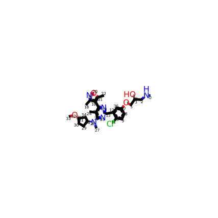 CNC[C@@H](O)COc1ccc(Cl)c(-c2nc(-c3c(C)noc3C)c(C)c(N(C)[C@H]3CC[C@@H](OC)C3)n2)c1